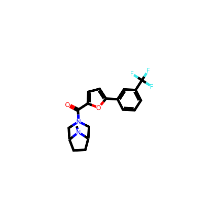 CN1C2CCC1CN(C(=O)c1ccc(-c3cccc(C(F)(F)F)c3)o1)C2